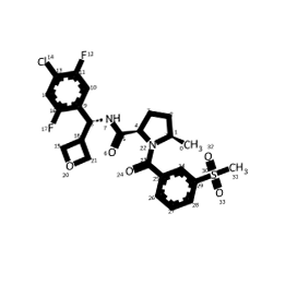 C[C@@H]1CC[C@H](C(=O)N[C@@H](c2cc(F)c(Cl)cc2F)C2COC2)N1C(=O)c1cccc(S(C)(=O)=O)c1